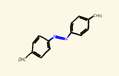 O=Cc1ccc(/N=N/c2ccc(C=O)cc2)cc1